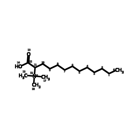 CCCCCCCCCCCC(C(=O)O)[N+](C)(C)C